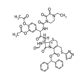 CCN1CCN(C(=O)NC(C(=O)N[C@]2(NC=O)C(=O)N3C(C(=O)OC(c4ccccc4)c4ccccc4)=C(CSc4nncs4)CS[C@@H]32)c2ccc(OC(C)=O)c(OC(C)=O)c2)C(=O)C1=O